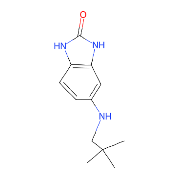 CC(C)(C)CNc1ccc2[nH]c(=O)[nH]c2c1